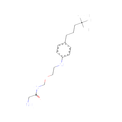 CC(C)(CCCc1ccc(NCCOCNC(=O)CN)cc1)C(=O)O